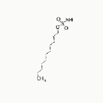 CCCCCCCCCCCOS([NH])(=O)=O